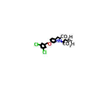 CC(C)CC(NC(Cc1ccc(OCc2cc(Cl)cc(Cl)c2)cc1)C(=O)O)C(=O)O